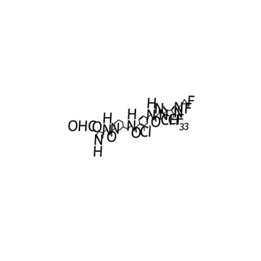 Cn1c(-c2cn(C3CC3(F)F)nc2C(F)(F)F)cnc1C(=O)Nc1ccc(C(=O)NCC2CCCN(C(=O)N[C@H]3CNC[C@@H]3OC=O)C2)c(Cl)c1